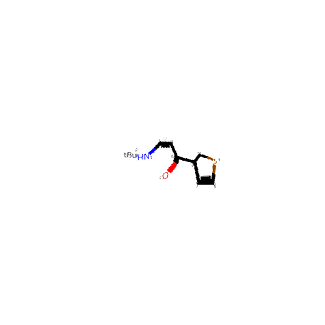 CC(C)(C)N/C=C\C(=O)C1C=CSC1